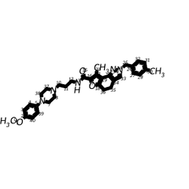 COc1ccc(N2CCN(CCCNC(=O)c3oc4c(c3C)-c3nn(Cc5ccc(C)cc5)cc3CC4)CC2)cc1